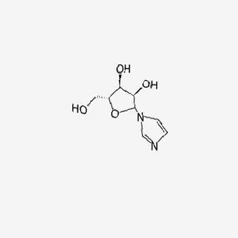 OC[C@H]1OC(n2ccnc2)[C@H](O)[C@@H]1O